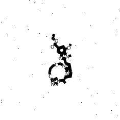 CCOC(=O)c1cc(OC)c2c(c1)nc(-c1cc3ccc4nc3n1CCCCCCc1cn(nn1)C4C)n2C